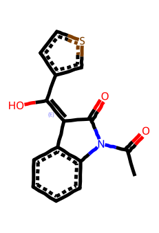 CC(=O)N1C(=O)/C(=C(/O)c2ccsc2)c2ccccc21